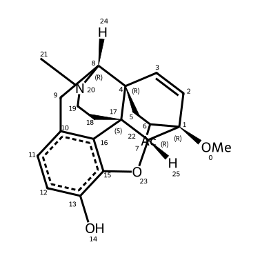 CO[C@]12C=C[C@@]3(CC1C(C)=O)[C@H]1Cc4ccc(O)c5c4[C@@]3(CCN1C)[C@H]2O5